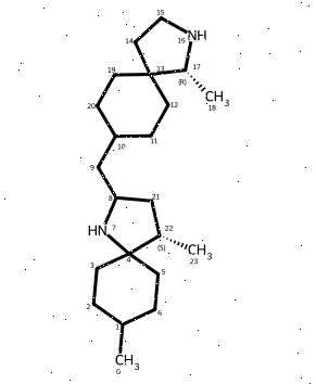 CC1CCC2(CC1)NC(CC1CCC3(CCN[C@@H]3C)CC1)C[C@@H]2C